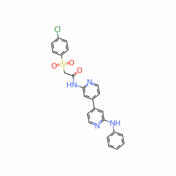 O=C(CS(=O)(=O)c1ccc(Cl)cc1)Nc1cc(-c2ccnc(Nc3ccccc3)c2)ccn1